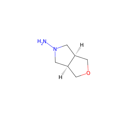 NN1C[C@H]2COC[C@H]2C1